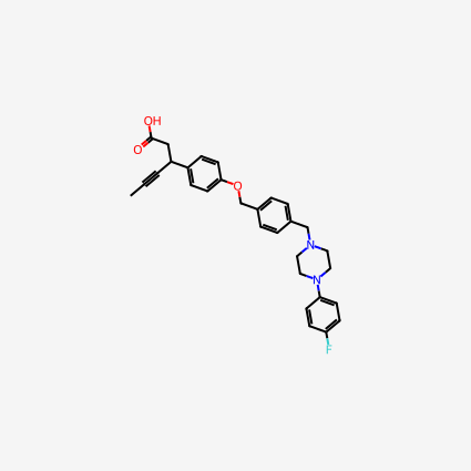 CC#CC(CC(=O)O)c1ccc(OCc2ccc(CN3CCN(c4ccc(F)cc4)CC3)cc2)cc1